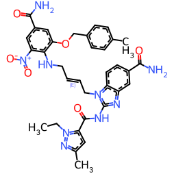 CCn1nc(C)cc1C(=O)Nc1nc2cc(C(N)=O)ccc2n1C/C=C/CNc1c(OCc2ccc(C)cc2)cc(C(N)=O)cc1[N+](=O)[O-]